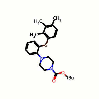 Cc1ccc(Sc2ccccc2N2CCN(C(=O)OC(C)(C)C)CC2)c(C)c1C